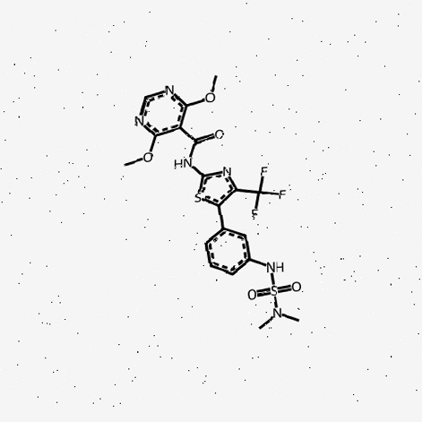 COc1ncnc(OC)c1C(=O)Nc1nc(C(F)(F)F)c(-c2cccc(NS(=O)(=O)N(C)C)c2)s1